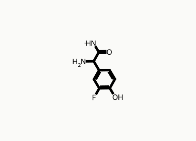 [NH]C(=O)C(N)c1ccc(O)c(F)c1